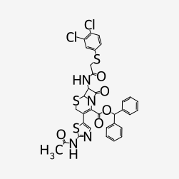 CC(=O)Nc1ncc(C2=C(C(=O)OC(c3ccccc3)c3ccccc3)N3C(=O)C(NC(=O)CSc4ccc(Cl)c(Cl)c4)C3SC2)s1